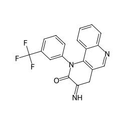 N=C1Cc2cnc3ccccc3c2N(c2cccc(C(F)(F)F)c2)C1=O